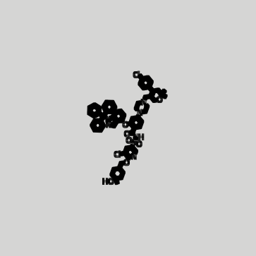 CC1(O)CCC(COc2ncc(S(=O)(=O)NC(=O)c3ccc(N4CCN(CC5=C(c6ccc(Cl)cc6)CC(C)(C)OC5)CC4)cc3Oc3cccc4c3cnn4C(c3ccccc3)(c3ccccc3)c3ccccc3)cc2Cl)CC1